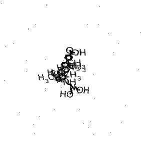 C=C(C)[C@@H]1CC[C@]2(CNCCN(CCO)CCO)CC[C@]3(C)[C@H](CC[C@@H]4[C@@]5(C)CC=C(c6ccc(C(=O)O)cc6)C(C)(C)[C@@H]5CC[C@]43C)[C@@H]12